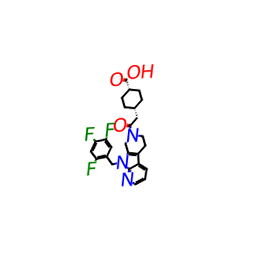 O=C(C[C@H]1CC[C@@H](C(=O)O)CC1)N1CCc2c(n(Cc3cc(F)c(F)cc3F)c3ncccc23)C1